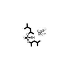 CC(C)CC(C)OP(=S)(S)OC(C)CC(C)C.[O]=[Mo+4].[S-2].[S-2]